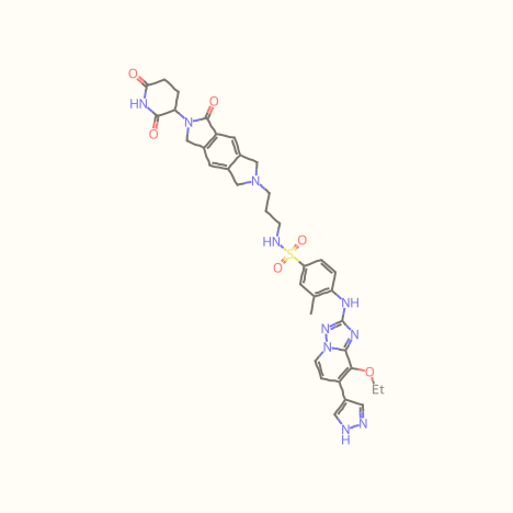 CCOc1c(-c2cn[nH]c2)ccn2nc(Nc3ccc(S(=O)(=O)NCCCN4Cc5cc6c(cc5C4)C(=O)N(C4CCC(=O)NC4=O)C6)cc3C)nc12